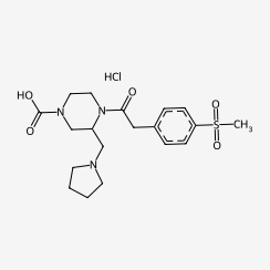 CS(=O)(=O)c1ccc(CC(=O)N2CCN(C(=O)O)CC2CN2CCCC2)cc1.Cl